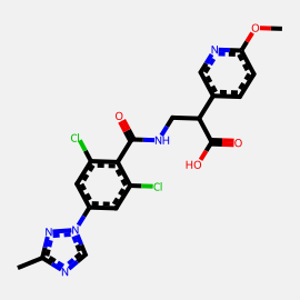 COc1ccc(C(CNC(=O)c2c(Cl)cc(-n3cnc(C)n3)cc2Cl)C(=O)O)cn1